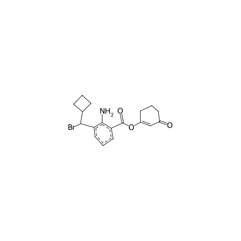 Nc1c(C(=O)OC2=CC(=O)CCC2)cccc1C(Br)C1CCC1